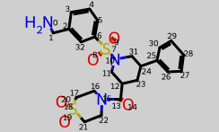 NCc1cccc(S(=O)(=O)N2CC(C(=O)N3CCS(=O)(=O)CC3)CC(c3ccccc3)C2)c1